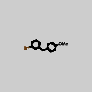 COc1ccc(Cc2cccc(Br)c2)cc1